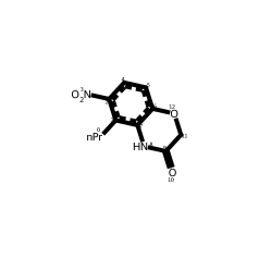 CCCc1c([N+](=O)[O-])ccc2c1NC(=O)CO2